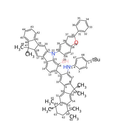 CC(C)(C)c1ccc(Nc2cc3c(cc2-c2ccc4c5cc6c(cc5n5c4c2Bc2cc4oc(-c7ccccc7)cc4cc2-5)-c2ccccc2C6(C)C)-c2cc4c(cc2C3(C)C)C(C)(C)CCC4(C)C)cc1